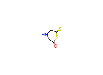 O=C1CNCC(=S)S1